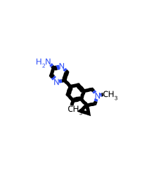 Cc1cc(-c2cnc(N)cn2)cc2c1C1(CC1)CN(C)C2